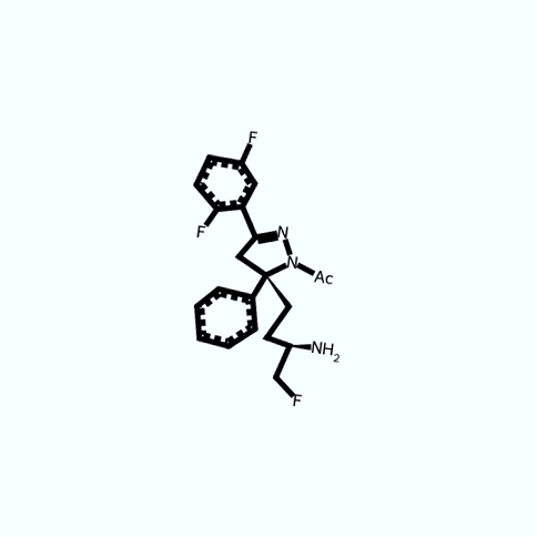 CC(=O)N1N=C(c2cc(F)ccc2F)C[C@@]1(CC[C@@H](N)CF)c1ccccc1